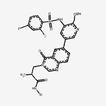 CCNC(=O)C(C)Cn1cnc2ccc(-c3cnc(OC)c(NS(=O)(=O)c4ccc(F)cc4Cl)c3)cc2c1=O